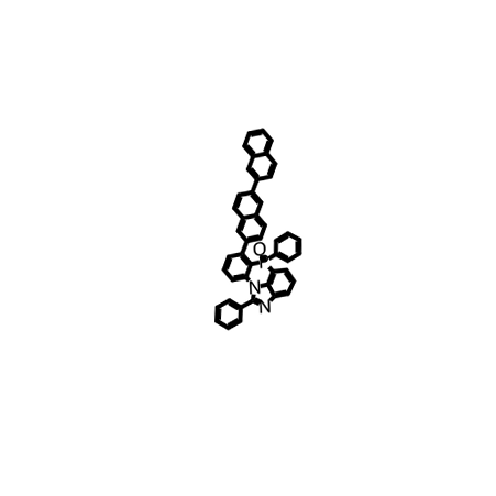 O=P1(c2ccccc2)c2c(-c3ccc4cc(-c5ccc6ccccc6c5)ccc4c3)cccc2-n2c(-c3ccccc3)nc3cccc1c32